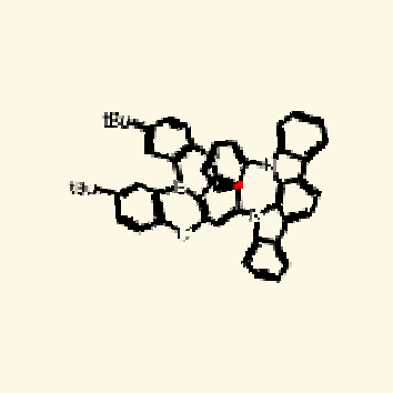 CC(C)(C)c1ccc2c(c1)B1c3cc(C(C)(C)C)ccc3Oc3cc(-n4c5ccccc5c5ccc6c7ccccc7n(-c7ccccc7)c6c54)cc(c31)O2